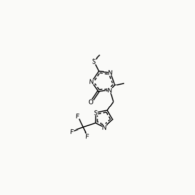 CSc1nc(C)n(Cc2cnc(C(F)(F)F)s2)c(=O)n1